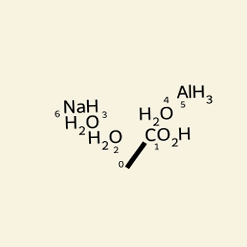 CC(=O)O.O.O.O.[AlH3].[NaH]